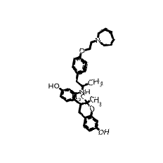 CC(Cc1ccc(OCCN2CCCCCC2)cc1)Nc1cc(O)ccc1C1Cc2ccc(O)cc2OC1(C)C